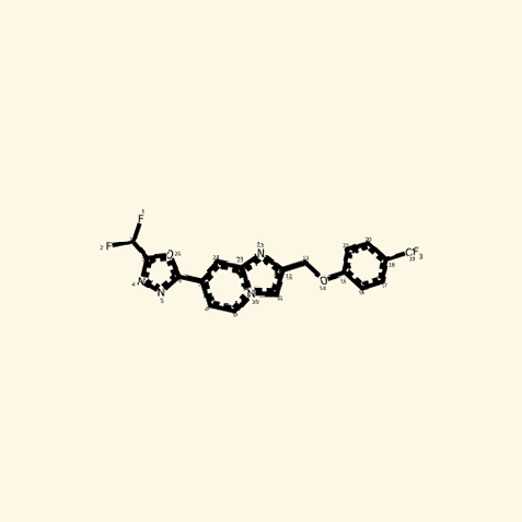 FC(F)c1nnc(-c2ccn3cc(COc4ccc(C(F)(F)F)cc4)nc3c2)o1